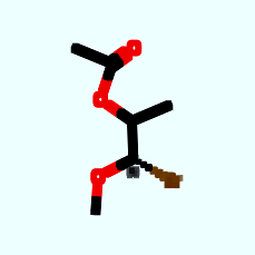 CO[C@@H](Br)C(C)OC(C)=O